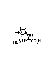 CC(NC1CCN(C)C1)C(=O)O.Cl.Cl